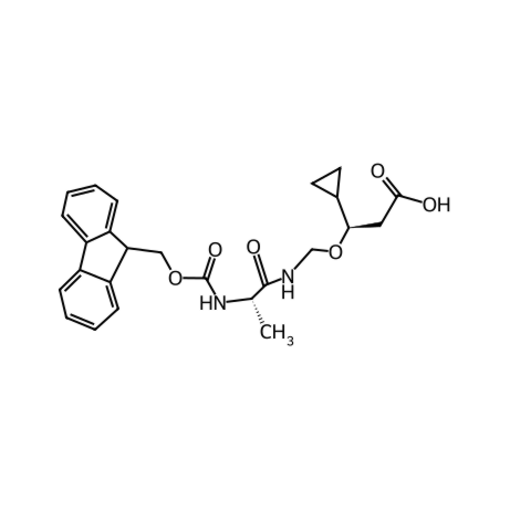 C[C@H](NC(=O)OCC1c2ccccc2-c2ccccc21)C(=O)NCO[C@H](CC(=O)O)C1CC1